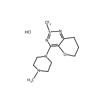 CN1CCN(C2=C3OCCCC3=NS(C(F)(F)F)=N2)CC1.Cl